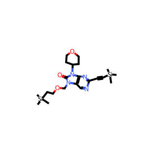 C[Si](C)(C)C#Cc1ncc2c(n1)n(C1CCOCC1)c(=O)n2COCC[Si](C)(C)C